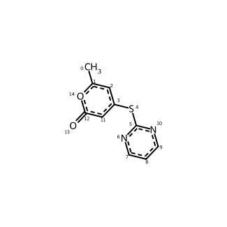 Cc1cc(Sc2ncccn2)cc(=O)o1